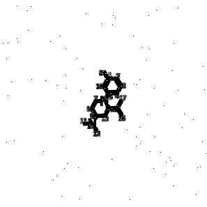 Cc1cccc(N2CCC(N(C)C)CC2C(C)C)c1